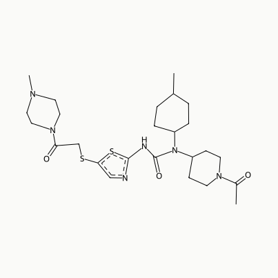 CC(=O)N1CCC(N(C(=O)Nc2ncc(SCC(=O)N3CCN(C)CC3)s2)C2CCC(C)CC2)CC1